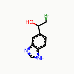 OC(CBr)c1ccc2[nH]cnc2c1